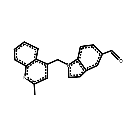 Cc1cc(Cn2ccc3cc(C=O)ccc32)c2ccccc2n1